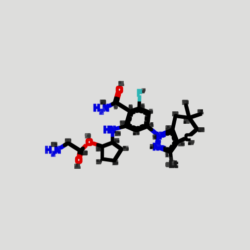 CCc1nn(-c2cc(F)c(C(N)=O)c(NC3CCCC3OC(=O)CN)c2)c2c1CCC(C)(C)C2